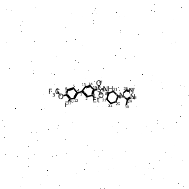 CCc1cc(-c2ccc(OC(F)(F)F)c(F)c2)ccc1S(=O)(=O)N[C@H]1CCC[C@@H](n2cnnc2C)C1